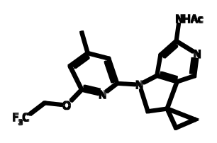 CC(=O)Nc1cc2c(cn1)C1(CC1)CN2c1cc(C)cc(OCC(F)(F)F)n1